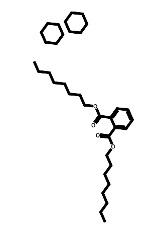 C1CCCCC1.C1CCCCC1.CCCCCCCCOC(=O)c1ccccc1C(=O)OCCCCCCCC